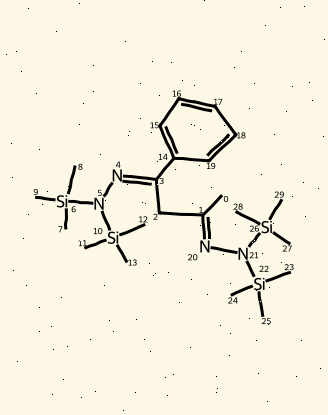 C/C(C/C(=N\N([Si](C)(C)C)[Si](C)(C)C)c1ccccc1)=N\N([Si](C)(C)C)[Si](C)(C)C